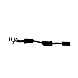 C#CC#CC#CN